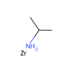 CC(C)N.[Zr]